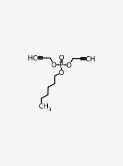 C#CCOP(=O)(OCC#C)OCCCCCC